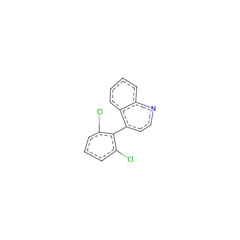 Clc1cccc(Cl)c1-c1ccnc2ccccc12